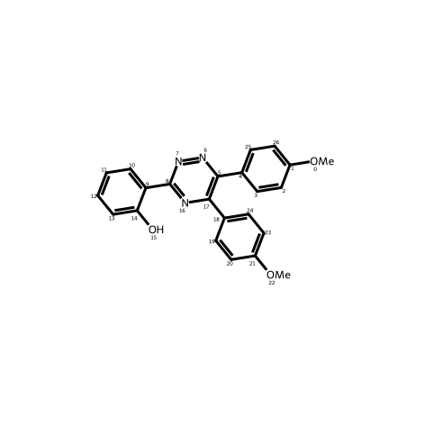 COc1ccc(-c2nnc(-c3ccccc3O)nc2-c2ccc(OC)cc2)cc1